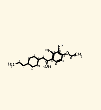 CCCC1CCC(CC(O)c2ccc(OCC)c(F)c2F)CC1